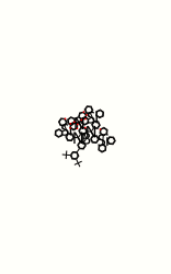 CC(C)(C)c1cc(-c2ccc3c(c2)N(c2cccc([Si](c4ccccc4)(c4ccccc4)c4ccccc4)c2)c2cc(-n4c5ccccc5c5ccccc54)cc4c2B3c2ccc([Si](c3ccccc3)(c3ccccc3)c3ccccc3)cc2N4c2cccc([Si](c3ccccc3)(c3ccccc3)c3ccccc3)c2)cc(C(C)(C)C)c1